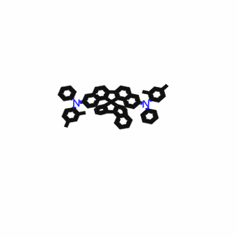 Cc1ccc(N(c2ccccc2)c2ccc3c4c(ccc3c2)-c2ccc3cc(N(c5ccccc5)c5ccc(C)cc5C)ccc3c2C42c3ccccc3-c3c2ccc2ccccc32)c(C)c1